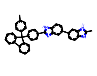 Cc1ccc(C2(c3ccc(-c4nc5cc(-c6ccc7nc(C)[nH]c7c6)ccc5[nH]4)cc3)c3ccccc3-c3ccccc32)cc1